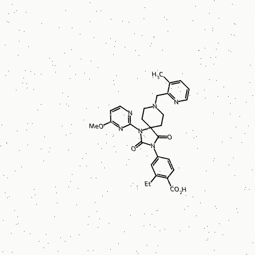 CCc1cc(N2C(=O)N(c3nccc(OC)n3)C3(CCN(Cc4ncccc4C)CC3)C2=O)ccc1C(=O)O